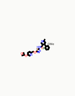 COc1cccc(F)c1-c1cc(C)ncc1C(=O)Nc1nnc(OCc2ccc(OC3COC3)cn2)s1